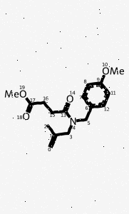 C=C(C)CN(Cc1ccc(OC)cc1)C(=O)[CH][CH]C(=O)OC